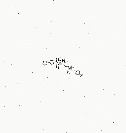 CC1(NCCCC[C@H](NC(=O)c2ccc(-c3ccccc3)cc2)C(=O)N2CCCC2)CC(c2ccc(F)cc2)C1